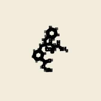 CC(C)(C)OC(=O)c1cccc(C[C@@](Cc2ccccc2)(NC(=O)NN)C(=O)O)c1